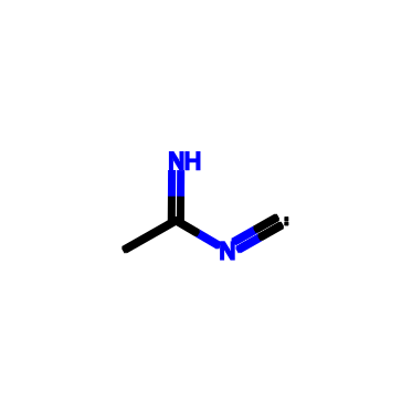 [C]=NC(C)=N